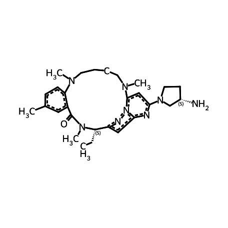 CC[C@H]1c2cc3nc(N4CC[C@H](N)C4)cc(n3n2)N(C)CCCCN(C)c2ccc(C)cc2C(=O)N1C